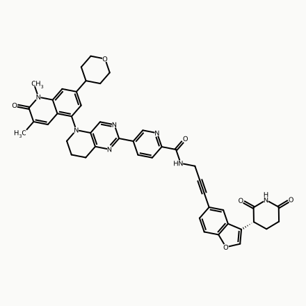 Cc1cc2c(N3CCCc4nc(-c5ccc(C(=O)NCC#Cc6ccc7occ([C@H]8CCC(=O)NC8=O)c7c6)nc5)ncc43)cc(C3CCOCC3)cc2n(C)c1=O